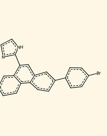 Brc1ccc(-c2ccc3c(c2)cc(-c2ncc[nH]2)c2ccccc23)cc1